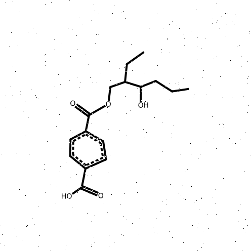 CCCC(O)C(CC)COC(=O)c1ccc(C(=O)O)cc1